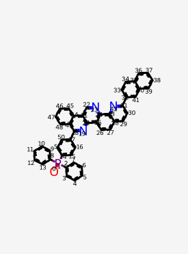 O=P(c1ccccc1)(c1ccccc1)c1ccc(-c2nc3c(cnc4c3ccc3ccc(-c5ccc6ccccc6c5)nc34)c3ccccc23)cc1